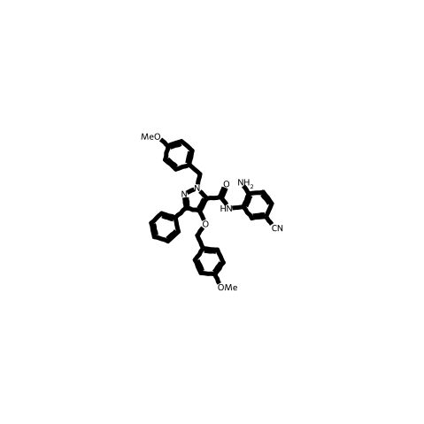 COc1ccc(COc2c(-c3ccccc3)nn(Cc3ccc(OC)cc3)c2C(=O)Nc2cc(C#N)ccc2N)cc1